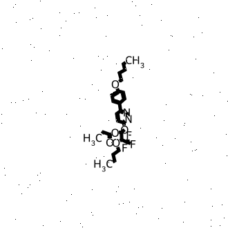 CCCCCOc1ccc(-c2ccc(OC(OC(=O)CC)C(OCCCC)C(F)(F)F)nn2)cc1